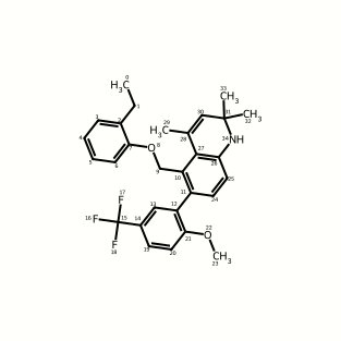 CCc1ccccc1OCc1c(-c2cc(C(F)(F)F)ccc2OC)ccc2c1C(C)=CC(C)(C)N2